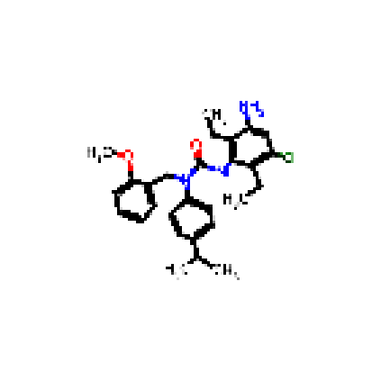 CCc1c(N)cc(Cl)c(CC)c1NC(=O)N(Cc1ccccc1OC)c1ccc(C(C)C)cc1